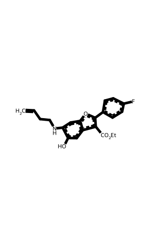 C=CCCNc1cc2oc(-c3ccc(F)cc3)c(C(=O)OCC)c2cc1O